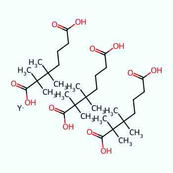 CC(C)(CCCC(=O)O)C(C)(C)C(=O)O.CC(C)(CCCC(=O)O)C(C)(C)C(=O)O.CC(C)(CCCC(=O)O)C(C)(C)C(=O)O.[Y]